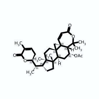 CC(=O)O[C@@H]1C[C@@H]2[C@]3(CC[C@]4(C)[C@@H]([C@H](C)[C@@H]5CC=C(C)C(=O)O5)CC[C@@]24C)C[C@@]32C=CC(=O)OC(C)(C)[C@H]12